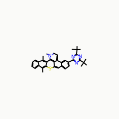 Cc1c2c(c(C)c3ccccc13)-c1c3c(cc4ccc(-c5nc(C(C)(C)C)nc(C(C)(C)C)n5)cc4c3cc[n+]1C)S2